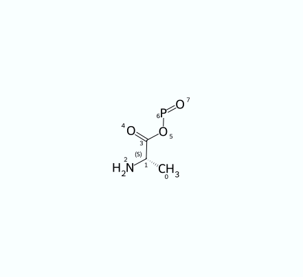 C[C@H](N)C(=O)OP=O